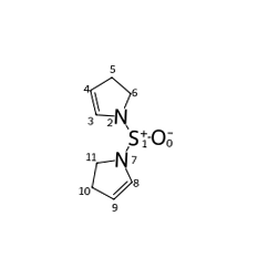 [O-][S+](N1C=CCC1)N1C=CCC1